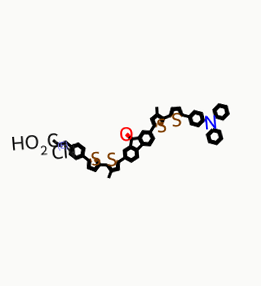 Cc1cc(-c2ccc3c(c2)C(=O)c2cc(-c4cc(C)c(-c5ccc(-c6ccc(N(c7ccccc7)c7ccccc7)cc6)s5)s4)ccc2-3)sc1-c1ccc(-c2ccc(/C=C(\C#N)C(=O)O)cc2)s1